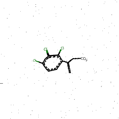 C=C(CC(Cl)(Cl)Cl)c1ccc(Cl)c(Cl)c1Cl